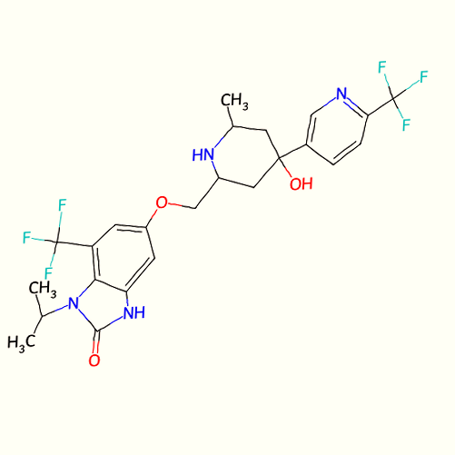 CC1CC(O)(c2ccc(C(F)(F)F)nc2)CC(COc2cc(C(F)(F)F)c3c(c2)[nH]c(=O)n3C(C)C)N1